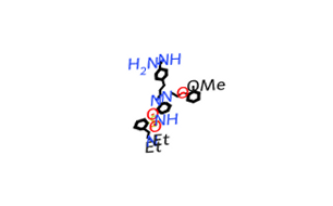 CCN(CC)CCc1ccccc1S(=O)(=O)Nc1ccc2c(c1)nc(CCc1ccc(C(=N)N)cc1)n2CCOc1ccccc1OC